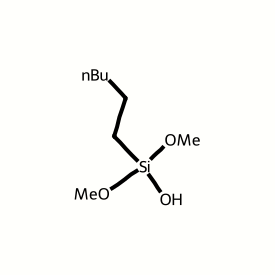 CCCCCC[Si](O)(OC)OC